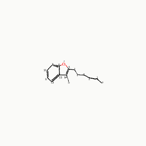 CCCCCCc1oc2ccccc2c1C